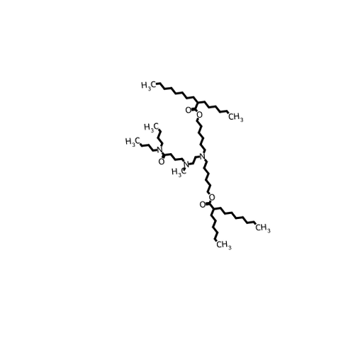 CCCCCCCCC(CCCCCC)C(=O)OCCCCCCN(CCCCCCOC(=O)C(CCCCCC)CCCCCCCC)CCN(C)CCCC(=O)N(CCCC)CCCC